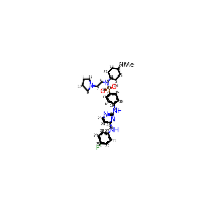 CNC1CCC(N(CCN2CCCC2)S(=O)(=O)c2ccc(Nc3nccc(Nc4ccc(F)cc4)n3)cc2)CC1